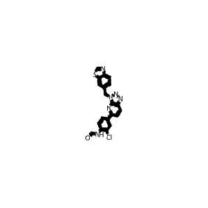 O=CNc1ccc(-c2ccc3nnn(Cc4ccc5ncsc5c4)c3n2)cc1Cl